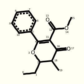 CCC1OC(c2ccccc2)=C(C(=O)OC)C(=O)C1C